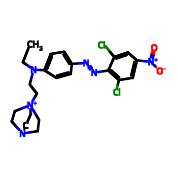 CCN(CC[N+]12CCN(CC1)CC2)c1ccc(N=Nc2c(Cl)cc([N+](=O)[O-])cc2Cl)cc1